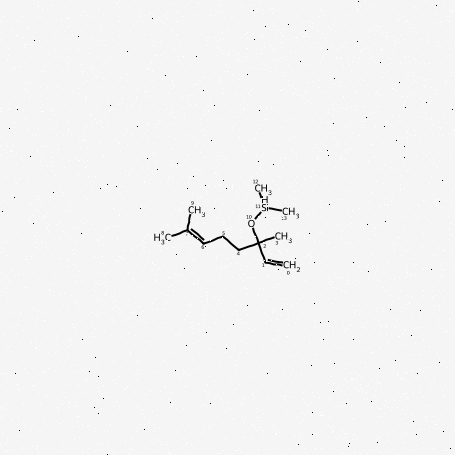 C=CC(C)(CCC=C(C)C)O[SiH](C)C